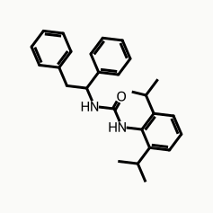 CC(C)c1cccc(C(C)C)c1NC(=O)NC(Cc1ccccc1)c1ccccc1